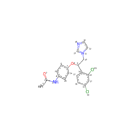 CCCC(=O)Nc1ccc(OC(Cn2ccnc2)c2ccc(Cl)cc2Cl)cc1